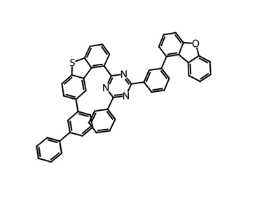 c1ccc(-c2cccc(-c3ccc4sc5cccc(-c6nc(-c7ccccc7)nc(-c7cccc(-c8cccc9oc%10ccccc%10c89)c7)n6)c5c4c3)c2)cc1